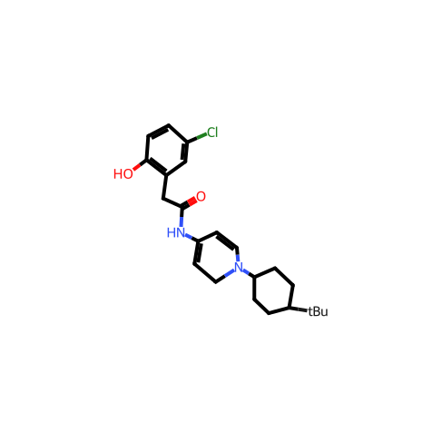 CC(C)(C)C1CCC(N2C=CC(NC(=O)Cc3cc(Cl)ccc3O)=CC2)CC1